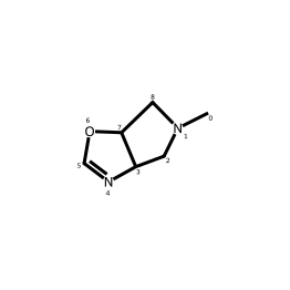 CN1CC2N=COC2C1